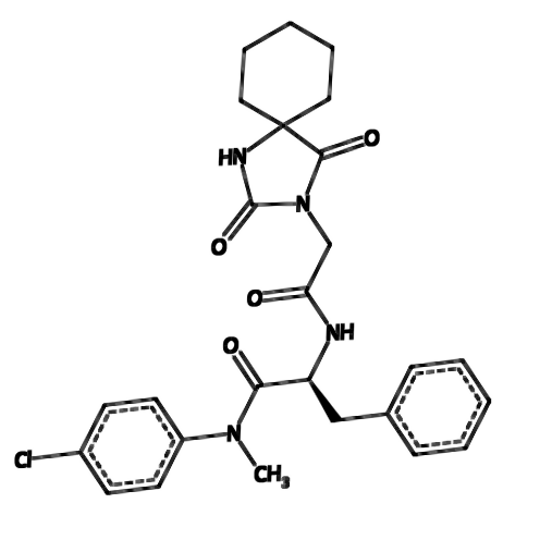 CN(C(=O)[C@H](Cc1ccccc1)NC(=O)CN1C(=O)NC2(CCCCC2)C1=O)c1ccc(Cl)cc1